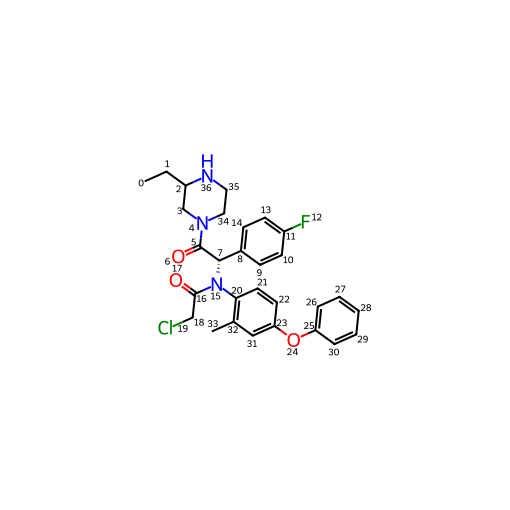 CCC1CN(C(=O)[C@H](c2ccc(F)cc2)N(C(=O)CCl)c2ccc(Oc3ccccc3)cc2C)CCN1